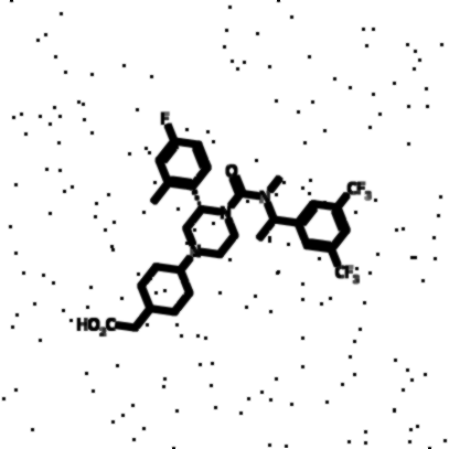 Cc1cc(F)ccc1[C@H]1CN(C2CCC(CC(=O)O)CC2)CCN1C(=O)N(C)C(C)c1cc(C(F)(F)F)cc(C(F)(F)F)c1